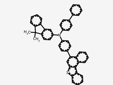 CC1(C)c2ccccc2-c2cc(N(c3ccc(-c4ccccc4)cc3)c3ccc(-c4cc5sc6ccccc6c5c5ccccc45)cc3)ccc21